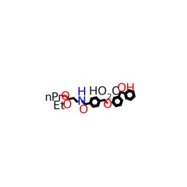 CCCOC(CCNC(=O)c1ccc(COc2cccc([C@@](O)(C(=O)O)c3ccccc3)c2)cc1)OCC